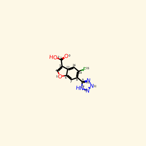 O=C(O)c1coc2cc(-c3nnn[nH]3)c(F)cc12